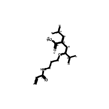 C=CC(=O)NCCCOC(CC(CC(C)C)C(=O)O)C(C)C